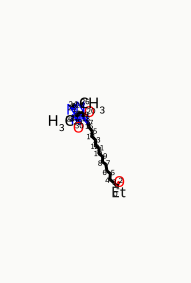 CCC1OC1CCCCCCCCCCCCCCn1c(=O)c2c(ncn2C)n(C)c1=O